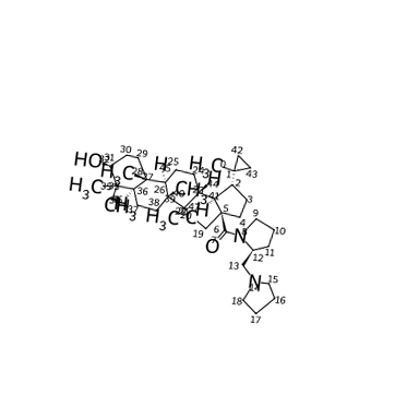 CC1([C@@H]2CC[C@]3(C(=O)N4CCC[C@H]4CN4CCCC4)CC[C@]4(C)[C@H](CC[C@@H]5[C@@]6(C)CC[C@H](O)C(C)(C)[C@@H]6CC[C@]54C)[C@@H]23)CC1